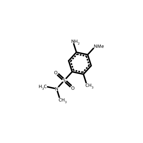 CNc1cc(C)c(S(=O)(=O)N(C)C)cc1N